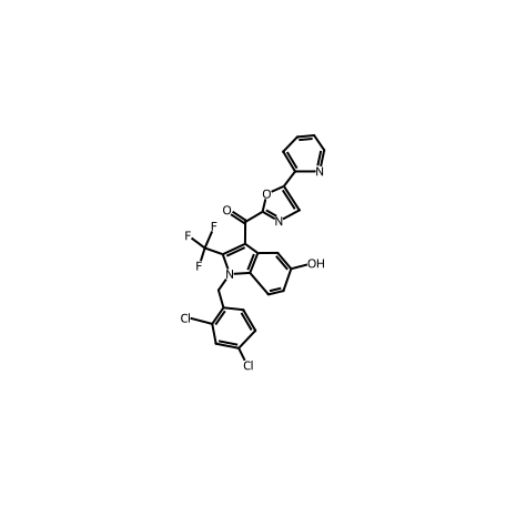 O=C(c1ncc(-c2ccccn2)o1)c1c(C(F)(F)F)n(Cc2ccc(Cl)cc2Cl)c2ccc(O)cc12